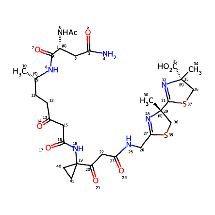 CC(=O)N[C@H](CC(N)=O)C(=O)N[C@@H](C)CCC(=O)CC(=O)NC1(C(=O)CC(=O)NCC2=N[C@](C)(C3=N[C@](C)(C(=O)O)CS3)CS2)CC1